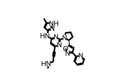 CNCC#Cc1cc(Nc2cc(C)[nH]n2)nc(N2CCC[C@H]2c2cc(-c3ccccn3)no2)n1